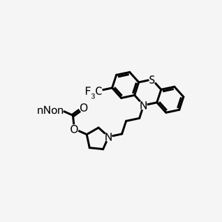 CCCCCCCCCC(=O)OC1CCN(CCCN2c3ccccc3Sc3ccc(C(F)(F)F)cc32)C1